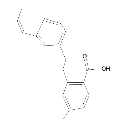 C/C=C\c1cccc(CCc2cc(C)ccc2C(=O)O)c1